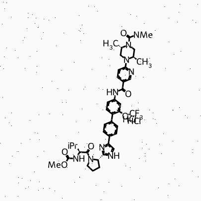 CNC(=O)N1C[C@@H](C)N(c2ccc(C(=O)Nc3ccc(-c4ccc(-c5c[nH]c([C@@H]6CCCN6C(=O)[C@@H](NC(=O)OC)C(C)C)n5)cc4)c(OC(F)(F)F)c3)cn2)C[C@@H]1C.Cl.Cl